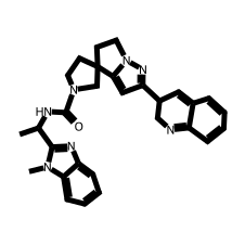 CC(NC(=O)N1CCC2(CCn3nc(C4C=c5ccccc5=NC4)cc32)C1)c1nc2ccccc2n1C